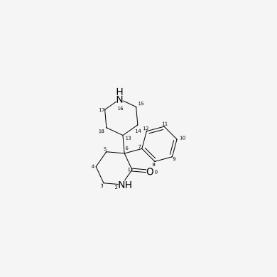 O=C1NCCCC1(c1ccccc1)C1CCNCC1